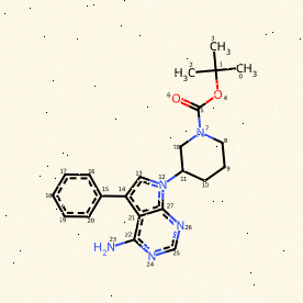 CC(C)(C)OC(=O)N1CCCC(n2cc(-c3ccccc3)c3c(N)ncnc32)C1